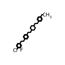 CCc1ccc(CCC2CCC(CCc3ccc(CCc4ccc(Cl)c(F)c4)cc3)CC2)cc1